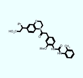 COc1cc(CC(=O)N2CCOc3cc(C(CC(=O)O)C(C)C)ccc32)ccc1NC(=O)Nc1ccccc1C